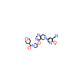 COc1ncc(N2CCc3ncnc(OC4CCN(C(=O)C5CCOCC5)C4)c3C2)cc1C#N